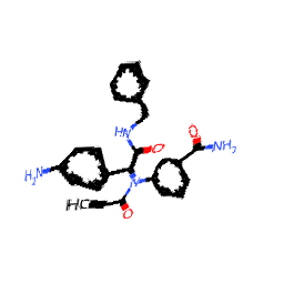 C#CC(=O)N(c1cccc(C(N)=O)c1)C(C(=O)NCc1ccccc1)c1ccc(N)cc1